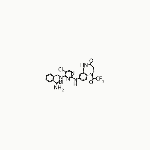 NC(=O)c1ccccc1CNc1nc(Nc2ccc3c(c2)CNC(=O)CCN3C(=O)C(F)(F)F)ncc1Cl